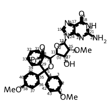 COc1ccc(C(OC(C(=O)C(C)C)[C@H]2O[C@@H](n3cnc4c(=O)[nH]c(N)nc43)[C@H](OC)[C@@H]2O)(c2ccccc2)c2ccc(OC)cc2)cc1